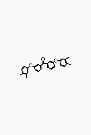 Cc1ccc(Oc2cccc(C(=O)c3cccc(Oc4ccc(C)c(C)c4)c3)c2)cc1C